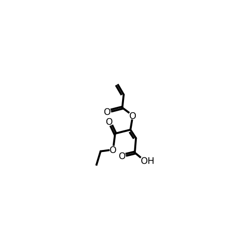 C=CC(=O)OC(=CC(=O)O)C(=O)OCC